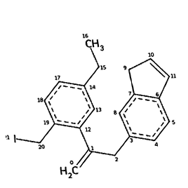 C=C(Cc1ccc2c(c1)CC=C2)c1cc(CC)ccc1CI